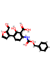 O=Cc1occc1-c1ccc(NC(=O)OCc2ccccc2)c(C(=O)O)c1O